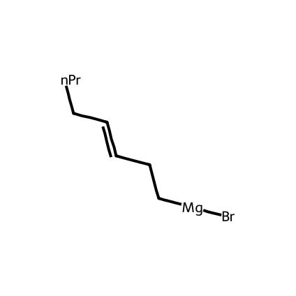 CCCC/C=C/C[CH2][Mg][Br]